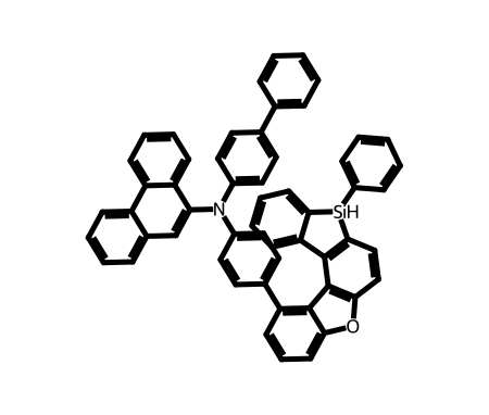 c1ccc(-c2ccc(N(c3ccc(-c4cccc5oc6ccc7c(c6c45)-c4ccccc4[SiH]7c4ccccc4)cc3)c3cc4ccccc4c4ccccc34)cc2)cc1